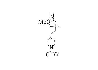 COCC(C)(CO)CCC1CCN(C(=O)Cl)CC1